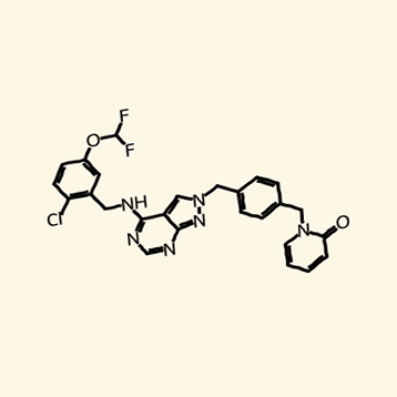 O=c1ccccn1Cc1ccc(Cn2cc3c(NCc4cc(OC(F)F)ccc4Cl)ncnc3n2)cc1